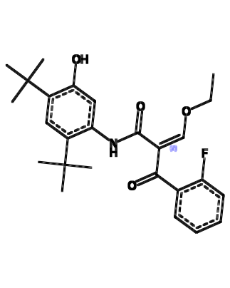 CCO/C=C(\C(=O)Nc1cc(O)c(C(C)(C)C)cc1C(C)(C)C)C(=O)c1ccccc1F